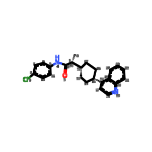 C[C@@H](C(=O)Nc1ccc(Cl)cc1)[C@H]1CC[C@@H](c2ccnc3ccccc32)CC1